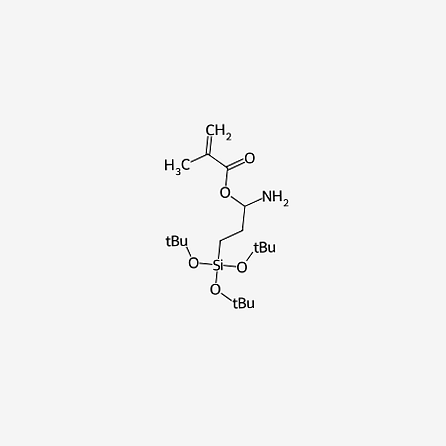 C=C(C)C(=O)OC(N)CC[Si](OC(C)(C)C)(OC(C)(C)C)OC(C)(C)C